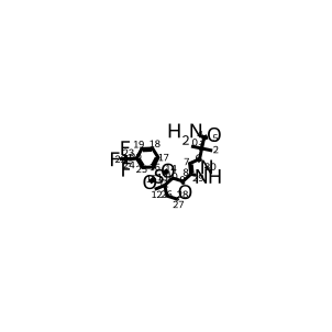 CC(C)(C(N)=O)c1cc(C2CC(C)(S(=O)(=O)c3cccc(C(F)(F)F)c3)CCO2)[nH]n1